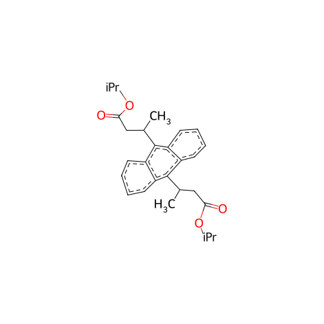 CC(C)OC(=O)CC(C)c1c2ccccc2c(C(C)CC(=O)OC(C)C)c2ccccc12